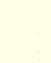 N=C(N)NCCCCC(=O)Nc1ccc(CC(NC(=O)c2[nH]c3ccccc3c2C=O)C(=O)O)cc1